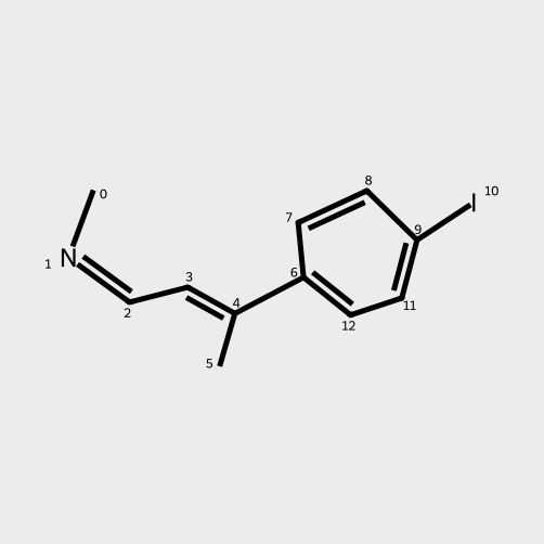 C/N=C\C=C(/C)c1ccc(I)cc1